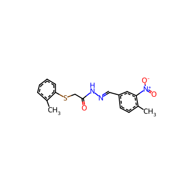 Cc1ccccc1SCC(=O)N/N=C/c1ccc(C)c([N+](=O)[O-])c1